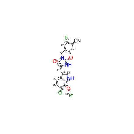 N#Cc1ccc(CN2C(=O)NC(=Cc3c[nH]c4c(OCF)c(Cl)ccc34)C2=O)cc1F